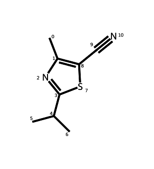 Cc1nc(C(C)C)sc1C#N